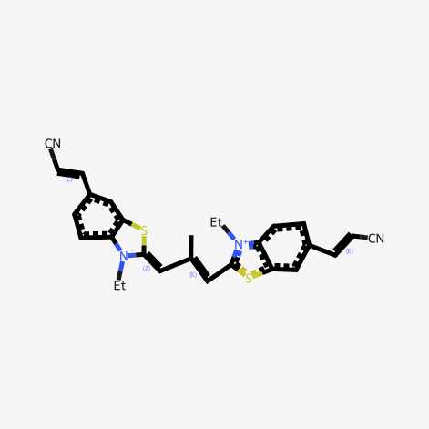 CCN1/C(=C/C(C)=C/c2sc3cc(/C=C/C#N)ccc3[n+]2CC)Sc2cc(/C=C/C#N)ccc21